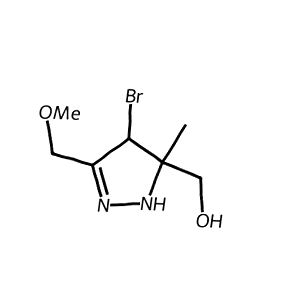 COCC1=NNC(C)(CO)C1Br